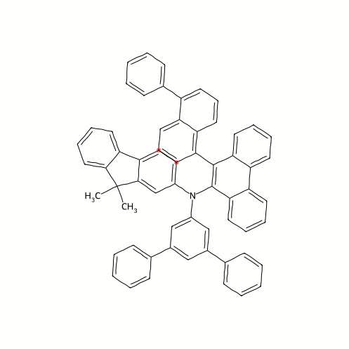 CC1(C)c2ccccc2-c2ccc(N(c3cc(-c4ccccc4)cc(-c4ccccc4)c3)c3c(-c4cccc5c(-c6ccccc6)cccc45)c4ccccc4c4ccccc34)cc21